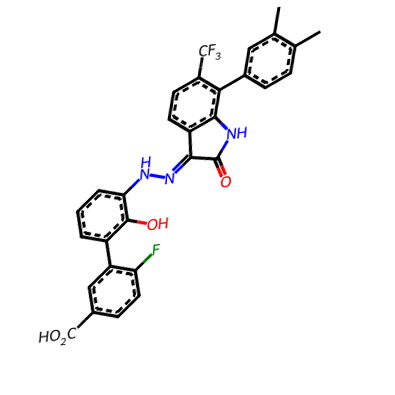 Cc1ccc(-c2c(C(F)(F)F)ccc3c2NC(=O)C3=NNc2cccc(-c3cc(C(=O)O)ccc3F)c2O)cc1C